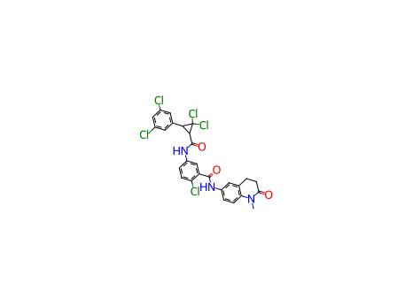 CN1C(=O)CCc2cc(NC(=O)c3cc(NC(=O)C4C(c5cc(Cl)cc(Cl)c5)C4(Cl)Cl)ccc3Cl)ccc21